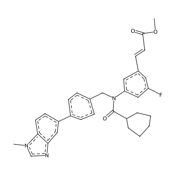 COC(=O)/C=C/c1cc(F)cc(N(Cc2ccc(-c3ccc4c(c3)ncn4C)cc2)C(=O)C2CCCCC2)c1